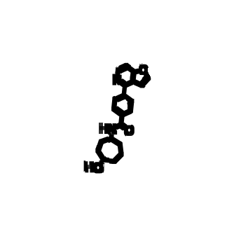 O=C(N[C@@H]1CCC[C@H](O)CC1)c1ccc(-c2nccc3occc23)cc1